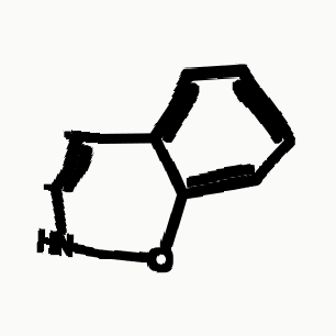 [C]1=[C]c2ccccc2ON1